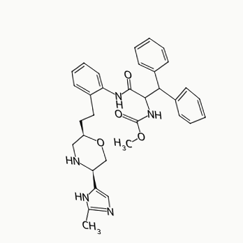 COC(=O)NC(C(=O)Nc1ccccc1CC[C@@H]1CN[C@H](c2cnc(C)[nH]2)CO1)C(c1ccccc1)c1ccccc1